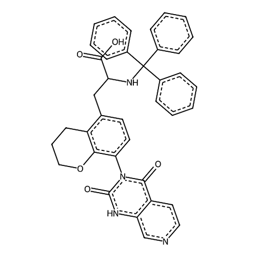 O=C(O)C(Cc1ccc(-n2c(=O)[nH]c3cnccc3c2=O)c2c1CCCO2)NC(c1ccccc1)(c1ccccc1)c1ccccc1